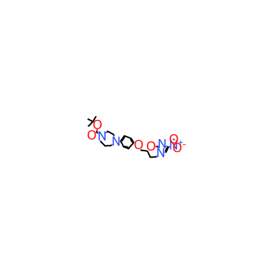 CC(C)(C)OC(=O)N1CCCN(c2ccc(OCC3CCn4cc([N+](=O)[O-])nc4O3)cc2)CC1